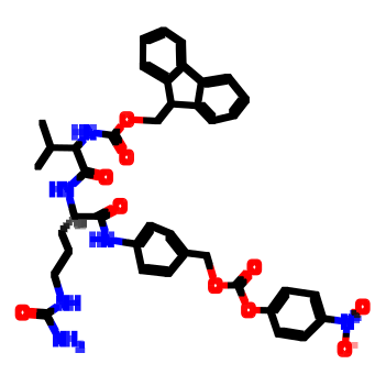 CC(C)C(NC(=O)OCC1c2ccccc2-c2ccccc21)C(=O)N[C@@H](CCCNC(N)=O)C(=O)Nc1ccc(COC(=O)Oc2ccc([N+](=O)[O-])cc2)cc1